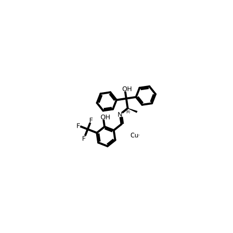 C[C@@H](N=Cc1cccc(C(F)(F)F)c1O)C(O)(c1ccccc1)c1ccccc1.[Cu]